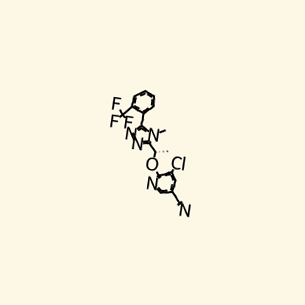 C[C@H](Oc1ncc(C#N)cc1Cl)c1nnc(-c2ccccc2C(F)(F)F)n1C